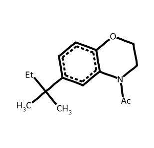 CCC(C)(C)c1ccc2c(c1)N(C(C)=O)CCO2